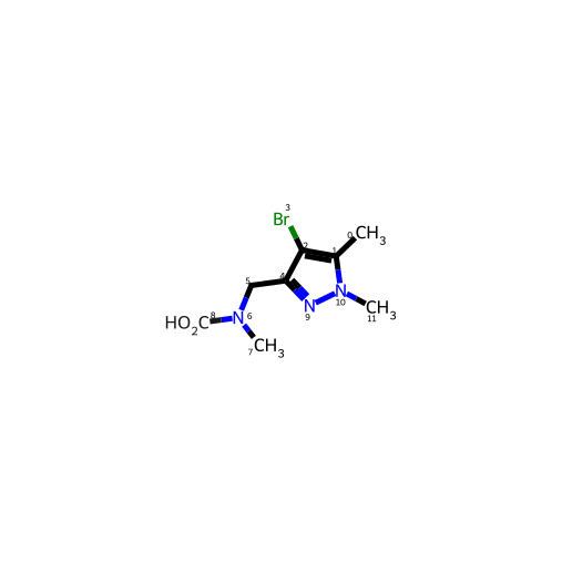 Cc1c(Br)c(CN(C)C(=O)O)nn1C